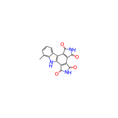 Cc1cccc2c1[nH]c1c3c(=O)[nH]c(=O)c3c3c(=O)[nH]c(=O)c3c21